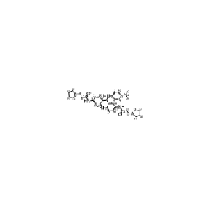 CN(C)c1ccc(Nc2c3ccc(NC(=O)CCN4CCCC4)cc3nc3ccc(NC(=O)CCN4CCCC4)cc23)cc1